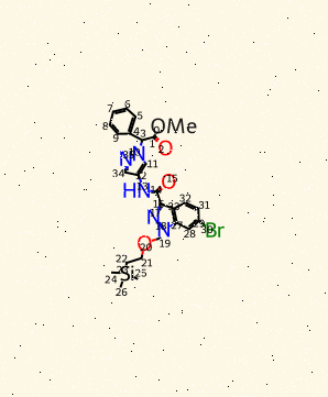 COC(=O)C(c1ccccc1)n1cc(NC(=O)c2nn(COCC[Si](C)(C)C)c3cc(Br)ccc23)cn1